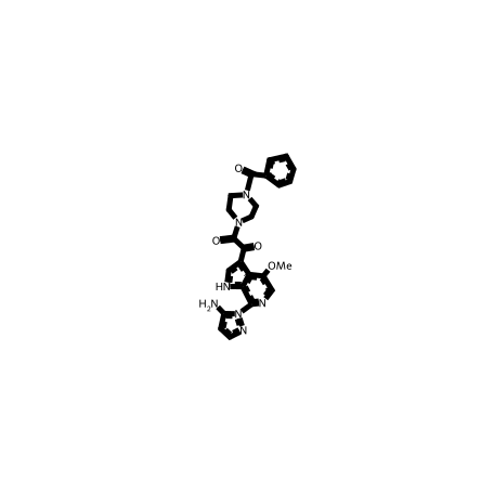 COc1cnc(-n2nccc2N)c2[nH]cc(C(=O)C(=O)N3CCN(C(=O)c4ccccc4)CC3)c12